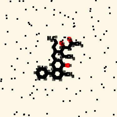 CCCC(CC1CC(=O)c2c(C)ccc(-c3ccccc3)c2C1)C(CC)C(=O)CC(C)=O